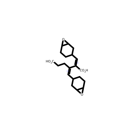 O=C(O)CCC(=C/C1CCC2OC2C1)/C(=C\C1CCC2OC2C1)C(=O)O